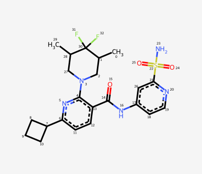 CC1CN(c2nc(C3CCC3)ccc2C(=O)Nc2ccnc(S(N)(=O)=O)c2)CC(C)C1(F)F